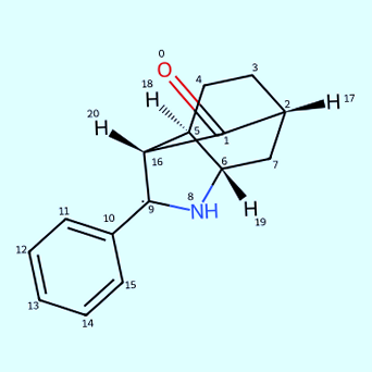 O=C1[C@@H]2CC[C@H]3[C@H](C2)N[C](c2ccccc2)[C@@H]13